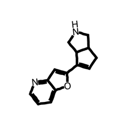 C1=C(c2cc3ncccc3o2)C2CNCC2C1